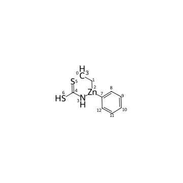 C[CH2][Zn]([NH]C(=S)S)[c]1ccccc1